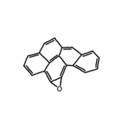 c1ccc2c(c1)cc1ccc3cccc4c5oc5c2c1c34